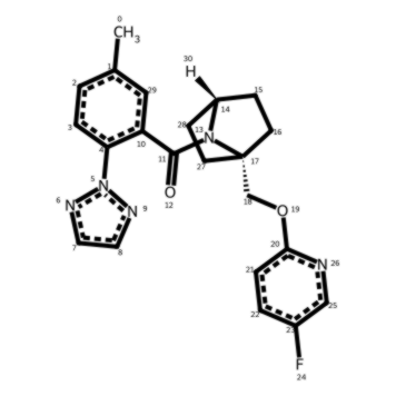 Cc1ccc(-n2nccn2)c(C(=O)N2[C@H]3CC[C@@]2(COc2ccc(F)cn2)CC3)c1